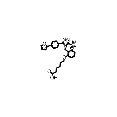 CS(=O)(=O)c1nnc(-c2ccc(-c3ccco3)cc2)n1Cc1ccccc1OCCCCCC(=O)O